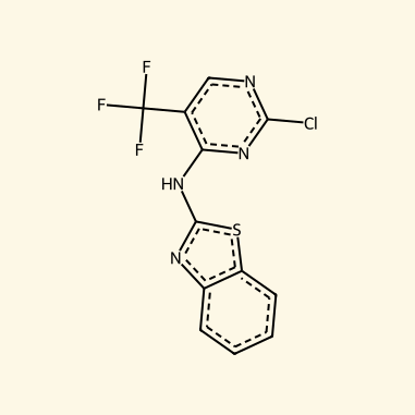 FC(F)(F)c1cnc(Cl)nc1Nc1nc2ccccc2s1